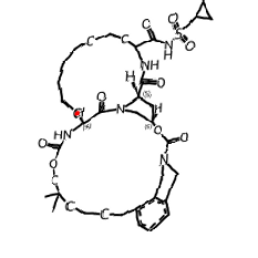 CC1(C)CCCCc2cccc3c2CN(C3)C(=O)O[C@H]2C[C@H]3C(=O)NC(C(=O)NS(=O)(=O)C4CC4)CCCCCCCC[C@H](NC(=O)OC1)C(=O)N3C2